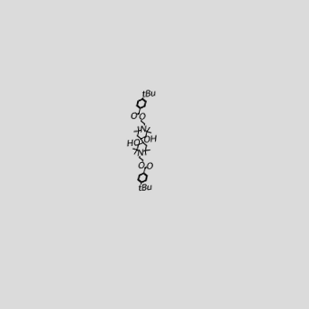 CC(C)(C)c1ccc(C(=O)OCCN2C(C)(C)CC(O)(C3(O)CC(C)(C)N(CCOC(=O)c4ccc(C(C)(C)C)cc4)C(C)(C)C3)CC2(C)C)cc1